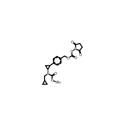 CC(C)(C)OC(=O)N(CC1CC1)[C@H]1CC1c1ccc(COC(=O)ON2C(=O)CCC2=O)cc1